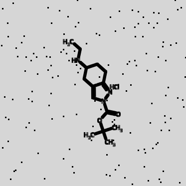 CCNC1CCc2nn(C(=O)OC(C)(C)C)cc2C1.Cl